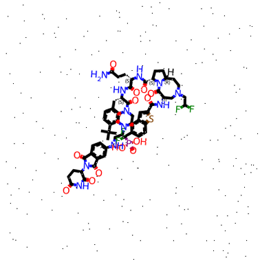 CC(C)(C)c1ccc(C[C@H](NC(=O)[C@H](CCC(N)=O)NC(=O)[C@@H]2CC[C@@H]3CCN(CC(F)F)C[C@H](NC(=O)c4cc5cc(C(F)(F)P(=O)(O)O)ccc5s4)C(=O)N32)C(=O)N2CCN(CCNc3ccc4c(c3)C(=O)N(C3CCC(=O)NC3=O)C4=O)CC2)cc1